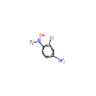 CCc1cc(N)ccc1N(O)CC